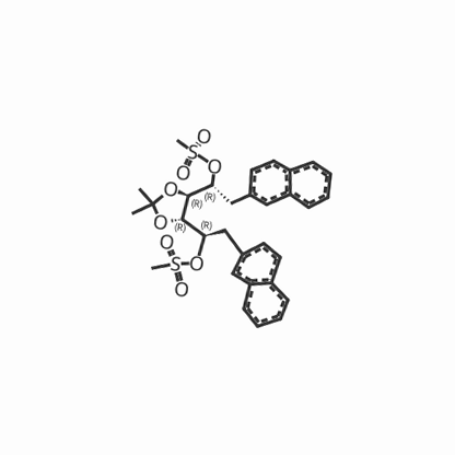 CC1(C)O[C@@H]([C@@H](Cc2ccc3ccccc3c2)OS(C)(=O)=O)[C@H]([C@@H](Cc2ccc3ccccc3c2)OS(C)(=O)=O)O1